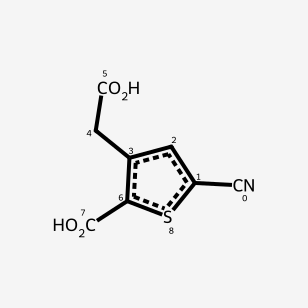 N#Cc1cc(CC(=O)O)c(C(=O)O)s1